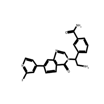 NCC(c1cccc(C(N)=O)c1)n1cnc2cc(-c3ccnc(F)c3)ccc2c1=O